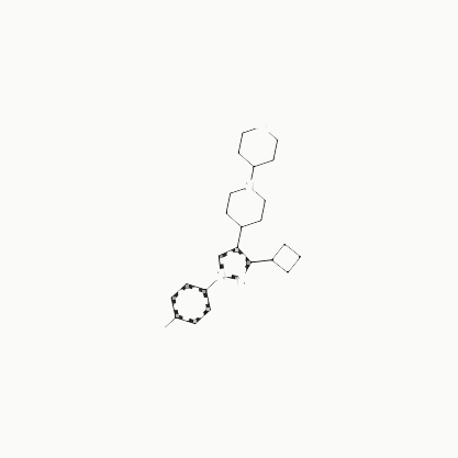 Fc1ccc(-n2cc(C3CCN(C4CCOCC4)CC3)c(C3CCC3)n2)cc1